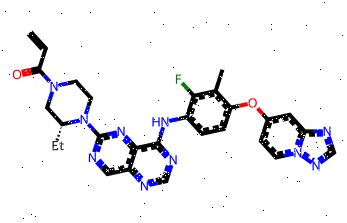 C=CC(=O)N1CCN(c2ncc3ncnc(Nc4ccc(Oc5ccn6ncnc6c5)c(C)c4F)c3n2)[C@H](CC)C1